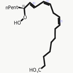 CCCCC[C@@H](/C=C/C=C\C/C=C\CCCCCCC(=O)O)OO